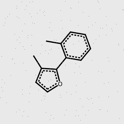 Cc1ccccc1-c1occc1C